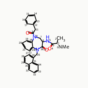 CN[C@@H](C)C(=O)NC1CN(C(=O)Cc2ccccc2)c2ccccc2N(Cc2cccc3ccccc23)C1=O